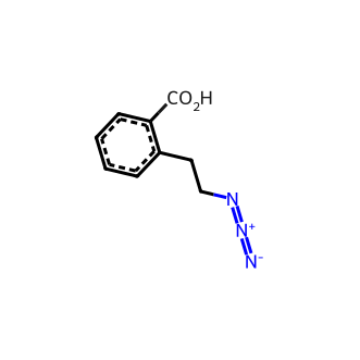 [N-]=[N+]=NCCc1ccccc1C(=O)O